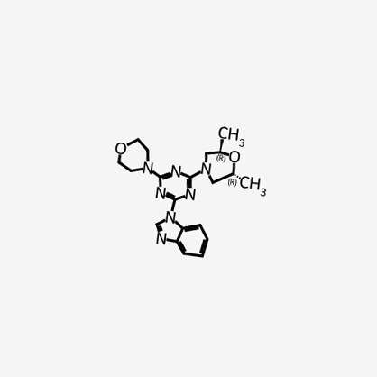 C[C@@H]1CN(c2nc(N3CCOCC3)nc(-n3cnc4ccccc43)n2)C[C@@H](C)O1